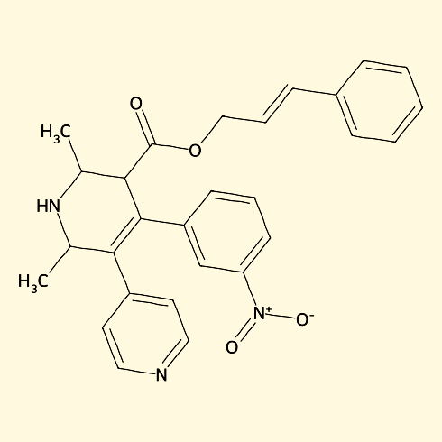 CC1NC(C)C(C(=O)OC/C=C/c2ccccc2)C(c2cccc([N+](=O)[O-])c2)=C1c1ccncc1